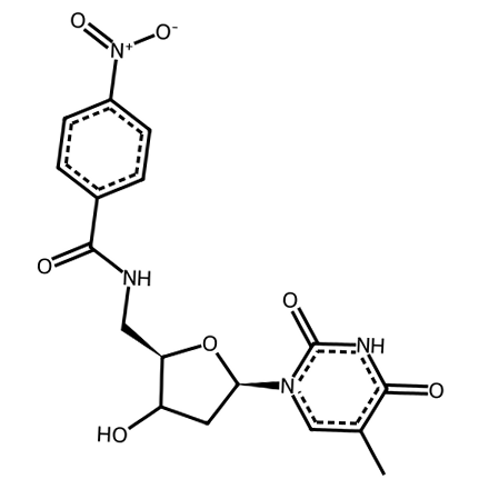 Cc1cn([C@H]2CC(O)[C@@H](CNC(=O)c3ccc([N+](=O)[O-])cc3)O2)c(=O)[nH]c1=O